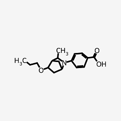 CCCOC1CC2CC1C(C)N2c1ccc(C(=O)O)cc1